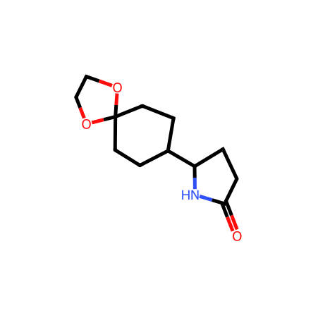 O=C1CCC(C2CCC3(CC2)OCCO3)N1